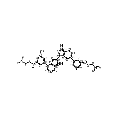 CN(C)CCNc1cc(F)cc(-c2cncc3[nH]c(-c4n[nH]c5ccc(-c6cncc(OCCN(C)C)c6)cc45)cc23)c1